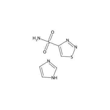 NS(=O)(=O)c1csnn1.c1c[nH]cn1